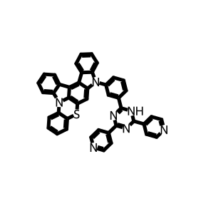 c1cc(C2=NC(c3ccncc3)=NC(c3ccncc3)N2)cc(-n2c3ccccc3c3c4c5ccccc5n5c4c(cc32)Sc2ccccc2-5)c1